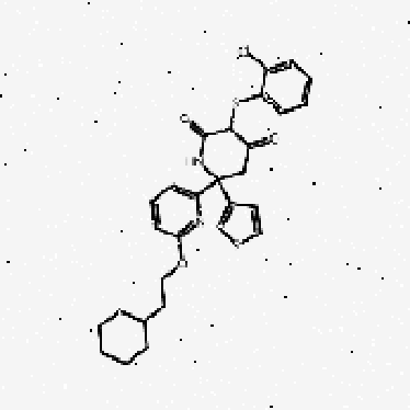 O=C1CC(c2ccsc2)(c2cccc(OCCC3CCCCC3)n2)NC(=O)C1Sc1ccccc1Cl